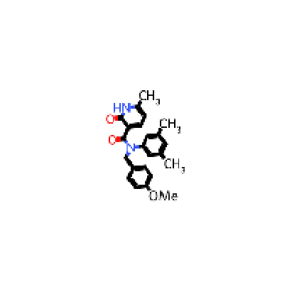 COc1ccc(CN(C(=O)c2ccc(C)[nH]c2=O)c2cc(C)cc(C)c2)cc1